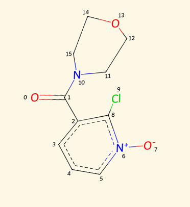 O=C(c1ccc[n+]([O-])c1Cl)N1CCOCC1